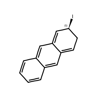 I[C@@H]1C=c2cc3ccccc3cc2=CC1